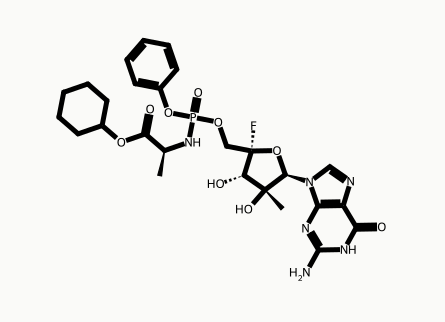 C[C@H](NP(=O)(OC[C@@]1(F)O[C@@H](n2cnc3c(=O)[nH]c(N)nc32)[C@](C)(O)[C@@H]1O)Oc1ccccc1)C(=O)OC1CCCCC1